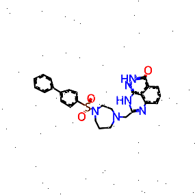 O=c1[nH]nc2c3c(cccc13)N=C(CN1CCCN(S(=O)(=O)c3ccc(-c4ccccc4)cc3)CC1)N2